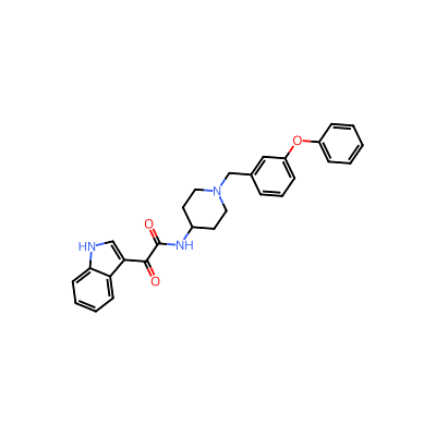 O=C(NC1CCN(Cc2cccc(Oc3ccccc3)c2)CC1)C(=O)c1c[nH]c2ccccc12